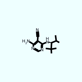 CC(C)[C@H](Nc1ncnc(N)c1C#N)C(C)(C)C